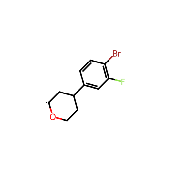 Fc1cc(C2C[CH]OCC2)ccc1Br